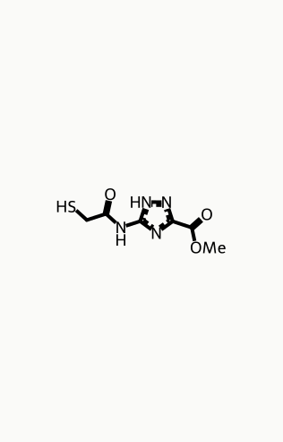 COC(=O)c1n[nH]c(NC(=O)CS)n1